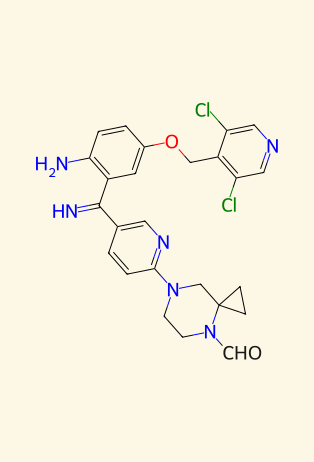 N=C(c1ccc(N2CCN(C=O)C3(CC3)C2)nc1)c1cc(OCc2c(Cl)cncc2Cl)ccc1N